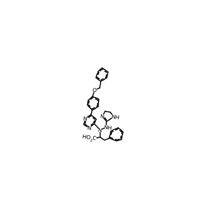 O=C(O)C(Cc1ccccc1)N(NC1=NCCN1)c1cc(-c2ccc(OCc3ccccc3)cc2)ncn1